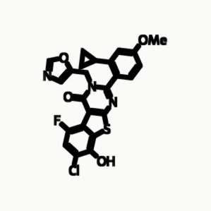 COc1ccc(-c2nc3sc4c(O)c(Cl)cc(F)c4c3c(=O)n2Cc2cnco2)c(C2CC2)c1